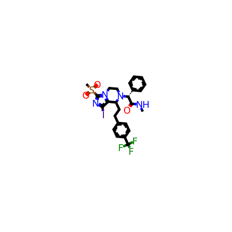 CNC(=O)[C@@H](c1ccccc1)N1CCn2c(S(C)(=O)=O)nc(I)c2C1CCc1ccc(C(F)(F)F)cc1